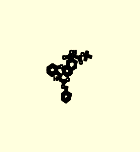 CC(C)(C)OC(=O)N[C@]1(C(=O)O)CCc2cccc(Oc3ccccc3CNC(=O)OCc3ccccc3)c2C1